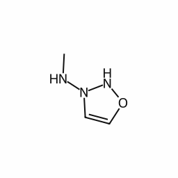 CNN1C=CON1